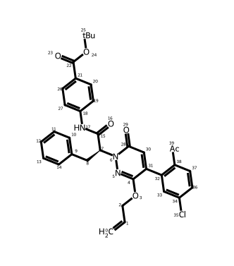 C=CCOc1nn([C@@H](Cc2ccccc2)C(=O)Nc2ccc(C(=O)OC(C)(C)C)cc2)c(=O)cc1-c1cc(Cl)ccc1C(C)=O